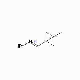 CC(C)/N=C/C12CC1(C)C2